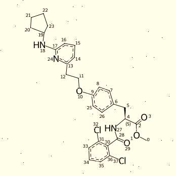 COC(=O)[C@H](Cc1ccc(OCCc2cccc(NC3CCCC3)n2)cc1)NC(=O)c1c(Cl)cccc1Cl